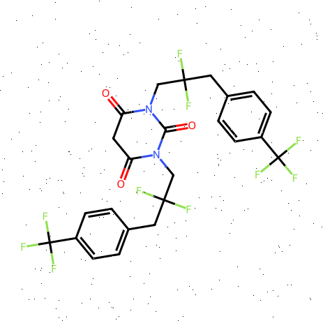 O=C1CC(=O)N(CC(F)(F)Cc2ccc(C(F)(F)F)cc2)C(=O)N1CC(F)(F)Cc1ccc(C(F)(F)F)cc1